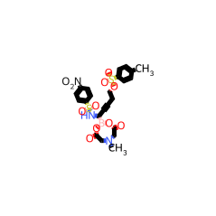 Cc1ccc(S(=O)(=O)OCCC#CC(NS(=O)(=O)c2ccc([N+](=O)[O-])cc2)B2OC(=O)CN(C)CC(=O)O2)cc1